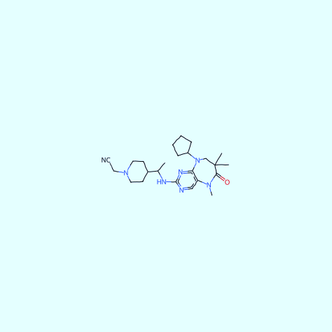 CC(Nc1ncc2c(n1)N(C1CCCC1)CC(C)(C)C(=O)N2C)C1CCN(CC#N)CC1